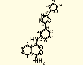 NC(=O)c1ccccc1C(=O)Nc1cccc(-c2nnc(-c3ccco3)o2)c1